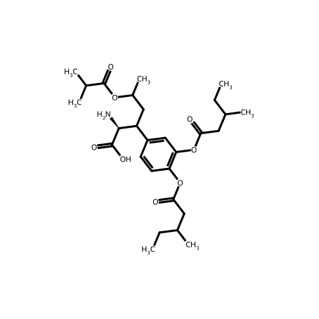 CCC(C)CC(=O)Oc1ccc(C(CC(C)OC(=O)C(C)C)[C@H](N)C(=O)O)cc1OC(=O)CC(C)CC